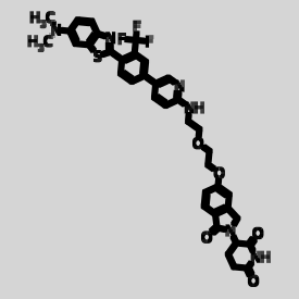 CN(C)c1ccc2nc(-c3ccc(-c4ccc(NCCOCCOc5ccc6c(c5)CN(C5CCC(=O)NC5=O)C6=O)nc4)cc3C(F)(F)F)sc2c1